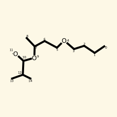 CCCCOCCC(C)OC([O])C(C)C